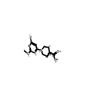 COc1nc(Cl)cc(N2CCC(C(=O)O)CC2)n1